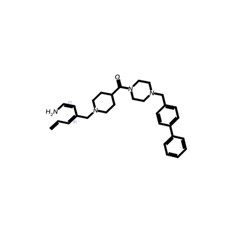 C=C/C=C(\C=C/N)CN1CCC(C(=O)N2CCN(Cc3ccc(-c4ccccc4)cc3)CC2)CC1